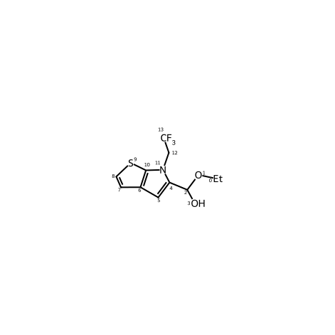 CCOC(O)c1cc2ccsc2n1CC(F)(F)F